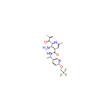 C=C(C)C(=O)c1nc(C)cc(C(=O)NC(C)c2ccc(OCC(F)(F)F)nc2)c1N